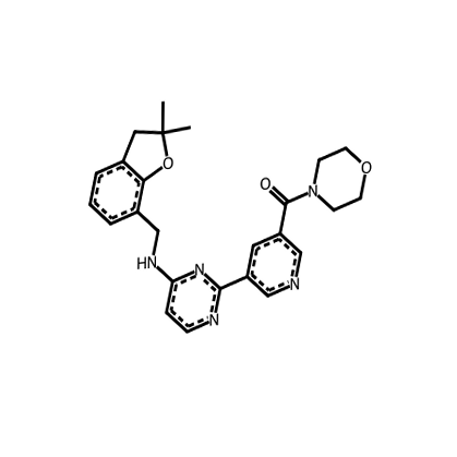 CC1(C)Cc2cccc(CNc3ccnc(-c4cncc(C(=O)N5CCOCC5)c4)n3)c2O1